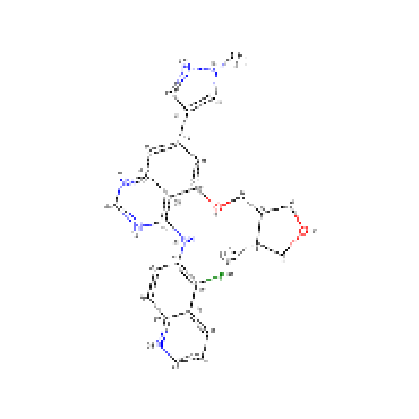 C[C@H]1COCC1COc1cc(-c2cnn(C)c2)cc2ncnc(Nc3ccc4ncccc4c3F)c12